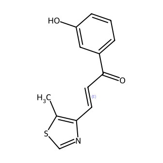 Cc1scnc1/C=C/C(=O)c1cccc(O)c1